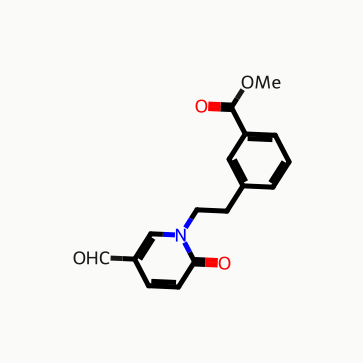 COC(=O)c1cccc(CCn2cc(C=O)ccc2=O)c1